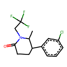 CC1C(c2cccc(Cl)c2)CCC(=O)N1CC(F)(F)F